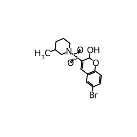 CC1CCCN(S(=O)(=O)C2=Cc3cc(Br)ccc3OC2O)C1